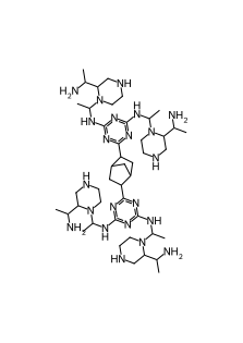 CC(N)C1CNCCN1C(C)Nc1nc(NC(C)N2CCNCC2C(C)N)nc(C2CC3CC2CC3c2nc(NC(C)N3CCNCC3C(C)N)nc(NC(C)N3CCNCC3C(C)N)n2)n1